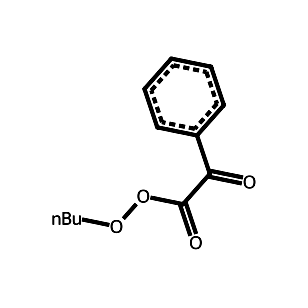 CCCCOOC(=O)C(=O)c1ccccc1